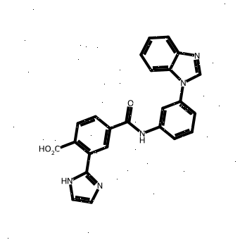 O=C(Nc1cccc(-n2cnc3ccccc32)c1)c1ccc(C(=O)O)c(-c2ncc[nH]2)c1